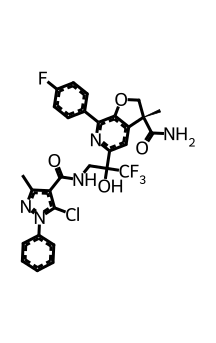 Cc1nn(-c2ccccc2)c(Cl)c1C(=O)NCC(O)(c1cc2c(c(-c3ccc(F)cc3)n1)OC[C@]2(C)C(N)=O)C(F)(F)F